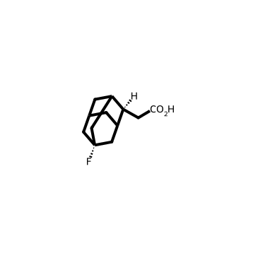 O=C(O)C[C@H]1C2CC3CC1C[C@](F)(C3)C2